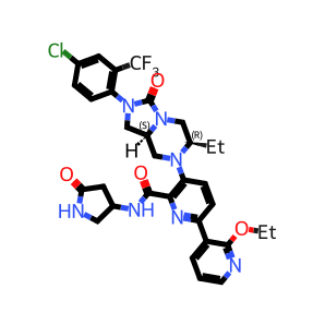 CCOc1ncccc1-c1ccc(N2C[C@H]3CN(c4ccc(Cl)cc4C(F)(F)F)C(=O)N3C[C@H]2CC)c(C(=O)NC2CNC(=O)C2)n1